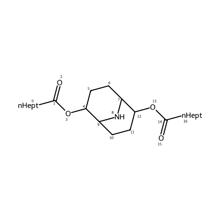 CCCCCCCC(=O)OC1CCC2NC1CCC2OC(=O)CCCCCCC